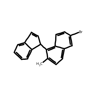 Cc1ccc2cc(Br)ccc2c1C1C=Cc2ccccc21